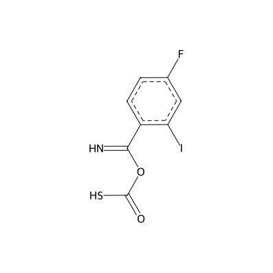 N=C(OC(=O)S)c1ccc(F)cc1I